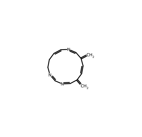 C=C1/C=C\C(=C)/C=N\C=N/CC/C=C\N=C/1